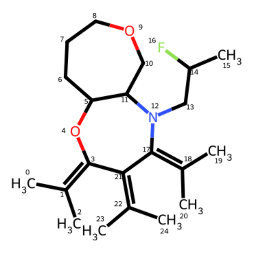 CC(C)=C1OC2CCCOCC2N(CC(C)F)C(=C(C)C)C1=C(C)C